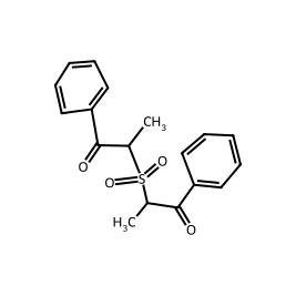 CC(C(=O)c1ccccc1)S(=O)(=O)C(C)C(=O)c1ccccc1